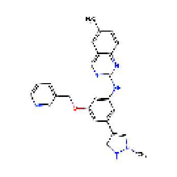 Cc1ccc2nc(Nc3cc(OCc4cccnc4)cc(C4=CN(C)NC4)c3)ncc2c1